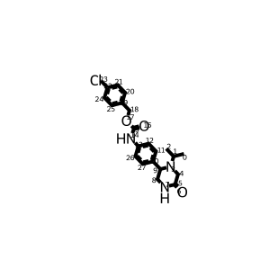 CC(C)N1CC(=O)NCC1c1ccc(NC(=O)OCc2ccc(Cl)cc2)cc1